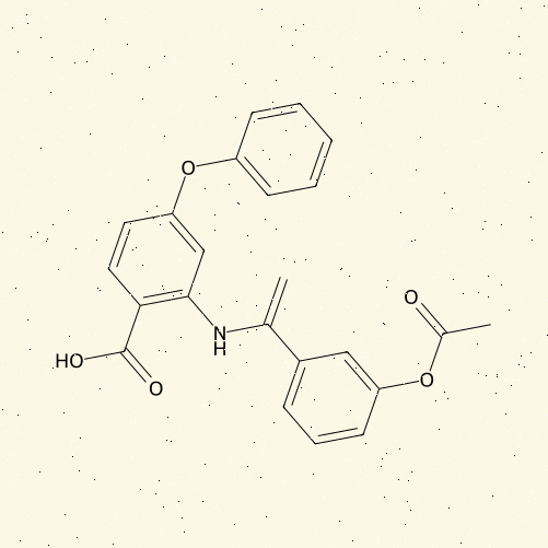 C=C(Nc1cc(Oc2ccccc2)ccc1C(=O)O)c1cccc(OC(C)=O)c1